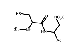 CC(=O)C(CC(=O)O)NC(=O)C(CS)NC(C)(C)C